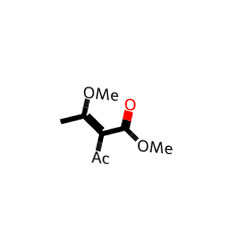 COC(=O)/C(C(C)=O)=C(/C)OC